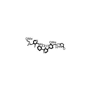 COCCN(C)Cc1ccnc(Nc2cccc(-c3nccc(-c4ccc(CNC[C@H]5CCC(=O)N5)c(OC)n4)c3Cl)c2Cl)c1F